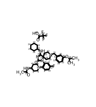 CC(=O)NC1CCN(c2ccc(F)cc2N2C(=O)N=C(NC3CCCCC3)C23CCN(Cc2cccc(OC(C)C)c2)CC3)CC1.O=C(O)C(F)(F)F